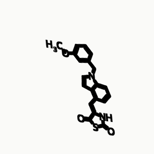 COc1cccc(Cn2ccc3c(C=C4NC(=O)SC4=O)cccc32)c1